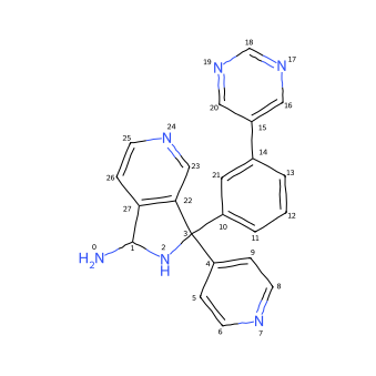 NC1NC(c2ccncc2)(c2cccc(-c3cncnc3)c2)c2cnccc21